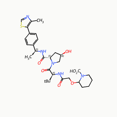 Cc1ncsc1-c1ccc([C@H](C)NC(=O)[C@@H]2C[C@@H](O)CN2C(=O)[C@@H](NC(=O)COC2CCCCN2C(=O)O)C(C)(C)C)cc1